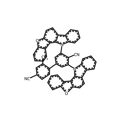 N#Cc1ccc(-c2cc(-n3c4ccccc4c4ccc5oc6ccccc6c5c43)c(C#N)c(-n3c4ccccc4c4ccc5oc6ccccc6c5c43)c2)c(C(F)(F)F)c1